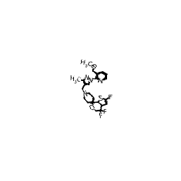 COCc1cccnc1-n1cc(CN2CCC3(CC2)OCC(F)(F)C2C=C(F)SC23)c(C)n1